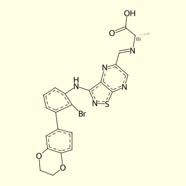 C[C@H](N=Cc1cnc2snc(Nc3cccc(-c4ccc5c(c4)OCCO5)c3Br)c2n1)C(=O)O